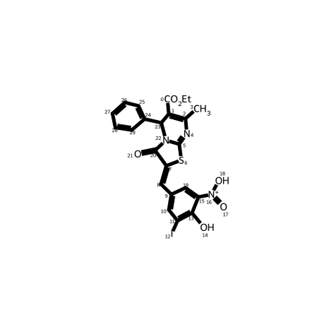 CCOC(=O)C1=C(C)N=c2s/c(=C\c3cc(I)c(O)c([N+](=O)O)c3)c(=O)n2C1c1ccccc1